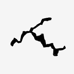 CCCCC(CCCC)CCCCC(C)=O